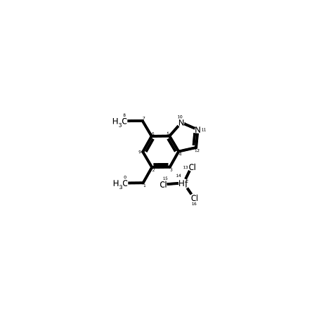 CCc1cc2c(c(CC)c1)[N]N=C2.[Cl][Hf]([Cl])[Cl]